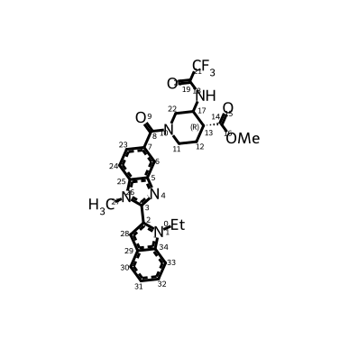 CCn1c(-c2nc3cc(C(=O)N4CC[C@@H](C(=O)OC)C(NC(=O)C(F)(F)F)C4)ccc3n2C)cc2ccccc21